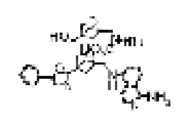 CC(C)(C)N(CC12CC(CO)(CO1)C2)C(=O)O.Nc1nccc2c(NCC34CC(c5ncc(-c6ccccc6)o5)(CO3)C4)cccc12